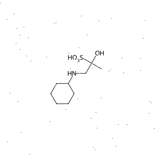 CC(O)(CNC1CCCCC1)S(=O)(=O)O